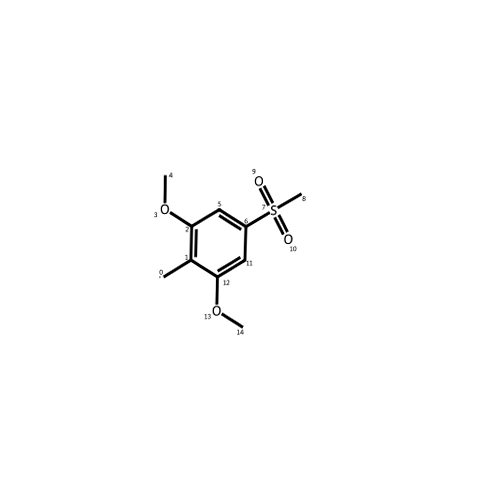 [CH2]c1c(OC)cc(S(C)(=O)=O)cc1OC